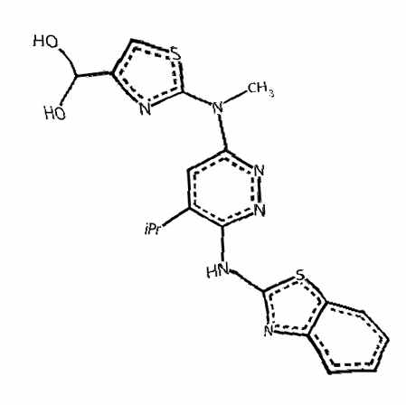 CC(C)c1cc(N(C)c2nc(C(O)O)cs2)nnc1Nc1nc2ccccc2s1